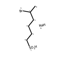 CC(Br)CCCCS(=O)(=O)O.[NaH]